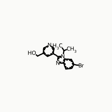 CC(C)n1c(-c2cncc(CO)c2)nc2ccc(Br)cc21